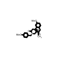 COc1ccc(CN2C[C@H]3[C@H]4Cc5ccc(OC)cc5[C@@]3(CCN4C)CC2=O)cc1